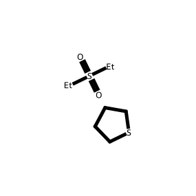 C1CCSC1.CCS(=O)(=O)CC